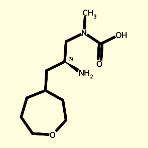 CN(C[C@@H](N)CC1CCCOCC1)C(=O)O